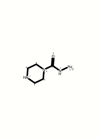 O=C(NP)N1CCNCC1